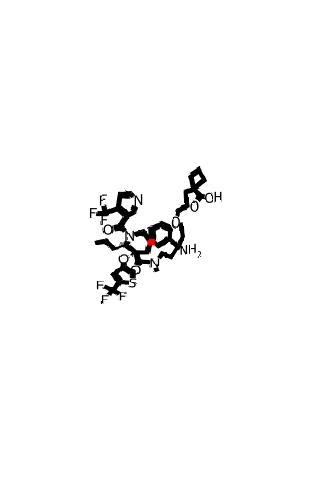 CCC[C@H]1N(C(=O)c2cnccc2C(F)(F)F)CCC[C@@]1(Oc1csc(C(F)(F)F)c1)C(=O)N(C)CCC(N)(CC)c1ccccc1OCCCC1(C(=O)O)CCC1